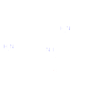 NCCNC(=O)C1CCCC1N